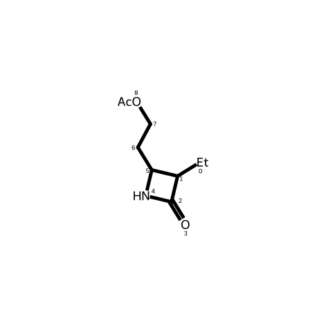 CCC1C(=O)NC1CCOC(C)=O